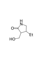 CCC1CNC(=O)C1CO